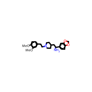 COc1ccc(CCN2CCC(CC(N)c3ccc4c(c3)OCO4)CC2)cc1OC